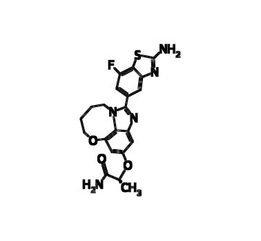 C[C@H](Oc1cc2c3c(c1)nc(-c1cc(F)c4sc(N)nc4c1)n3CCCCO2)C(N)=O